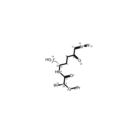 CC(C)O[C@H](C(=O)N[C@@H](CCC(=O)C=[N+]=[N-])C(=O)O)C(C)C